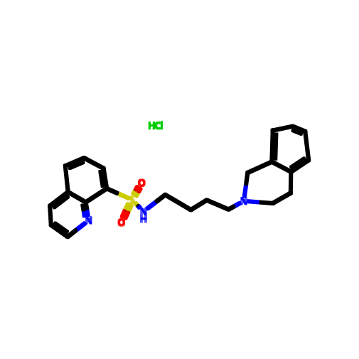 Cl.O=S(=O)(NCCCCN1CCc2ccccc2C1)c1cccc2cccnc12